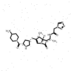 C[C@@H](NC(=O)Cn1cnnn1)[C@H]1C(=O)N2C=C(S[C@@H]3CN[C@H](C(=O)N4CCC(N)CC4)C3)[C@H](C)[C@H]12